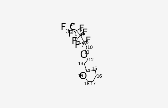 FC(F)(F)C(F)(F)C(F)(F)C(F)(F)COCCC1CCCCO1